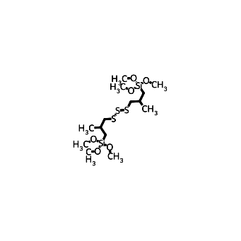 CO[Si](CC(C)CSSSCC(C)C[Si](OC)(OC)OC)(OC)OC